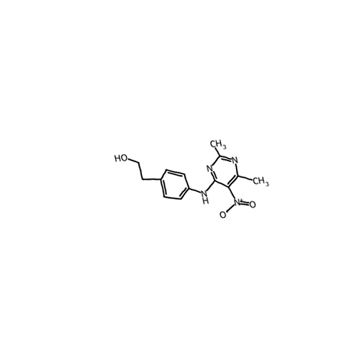 Cc1nc(C)c([N+](=O)[O-])c(Nc2ccc(CCO)cc2)n1